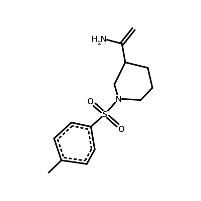 C=C(N)C1CCCN(S(=O)(=O)c2ccc(C)cc2)C1